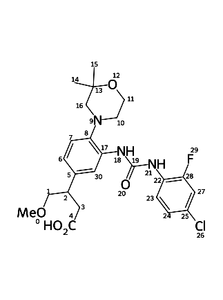 COCC(CC(=O)O)c1ccc(N2CCOC(C)(C)C2)c(NC(=O)Nc2ccc(Cl)cc2F)c1